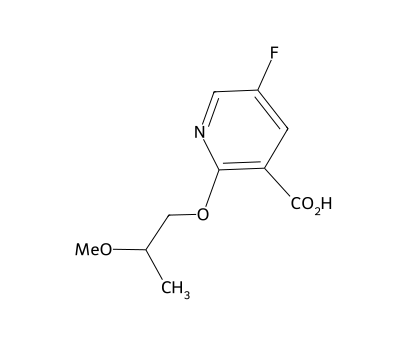 COC(C)COc1ncc(F)cc1C(=O)O